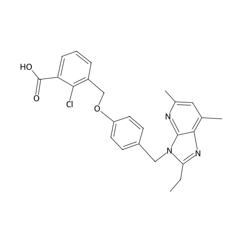 CCc1nc2c(C)cc(C)nc2n1Cc1ccc(OCc2cccc(C(=O)O)c2Cl)cc1